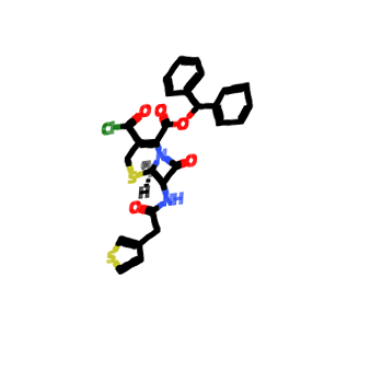 O=C(Cc1ccsc1)NC1C(=O)N2C(C(=O)OC(c3ccccc3)c3ccccc3)=C(C(=O)Cl)CS[C@H]12